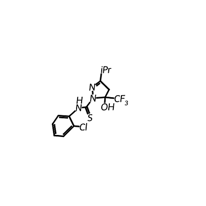 CC(C)C1=NN(C(=S)Nc2ccccc2Cl)C(O)(C(F)(F)F)C1